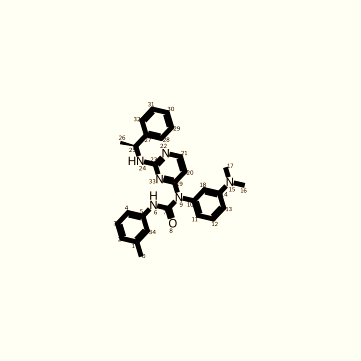 Cc1cccc(NC(=O)N(c2cccc(N(C)C)c2)c2ccnc(N[C@@H](C)c3ccccc3)n2)c1